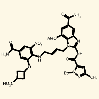 CCn1nc(C)cc1C(=O)Nc1nc2cc(C(N)=O)cc(OC)c2n1CC=CCNc1c(OC2CC(C(=O)O)C2)cc(C(N)=O)cc1[N+](=O)[O-]